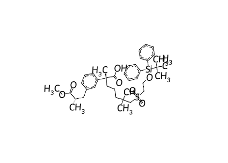 COC(=O)[C@@H](C)Cc1cccc([C@@](C)(CCCC(C)(C)CS(=O)(=O)CCO[Si](c2ccccc2)(c2ccccc2)C(C)(C)C)C(=O)O)c1